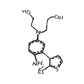 CCc1sccc1-c1cc(N(CCO)CCO)ccc1N